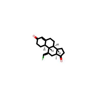 C[C@]12C/C(=C\F)[C@H]3[C@@H](CCC4=CC(=O)CC[C@@H]43)[C@@H]1CCC2=O